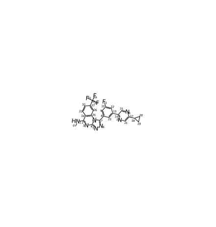 CNc1nc2nnc(-c3cc(F)cc(-c4cnc(C5CC5)cn4)c3)n2c2cc(C(F)(F)F)ccc12